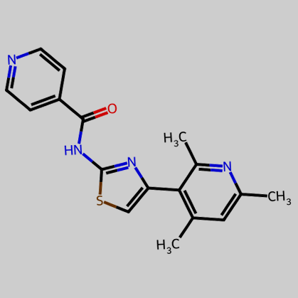 Cc1cc(C)c(-c2csc(NC(=O)c3ccncc3)n2)c(C)n1